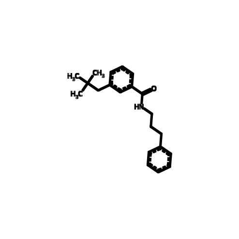 CC(C)(C)Cc1cccc(C(=O)NCCCc2ccccc2)c1